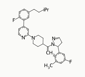 C=C(C1CCN(c2cc(-c3cc(CCC(C)C)ccc3F)ccn2)CC1)N1N=CCC1c1cc(C)cc(F)c1